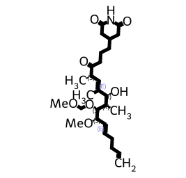 C=CCC/C=C/[C@H](OC)[C@@H](OCOC)[C@H](C)[C@@H](O)/C(C)=C/[C@H](C)C(=O)CCCC1CC(=O)NC(=O)C1